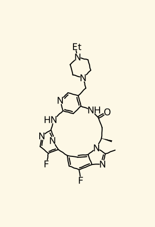 CCN1CCN(Cc2cnc3cc2NC(=O)C[C@@H](C)n2c(C)nc4c(F)cc(cc42)-c2nc(ncc2F)N3)CC1